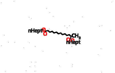 CCCCCCCOC(=O)CCCCCCCCCCCC(C)C(=O)OCCCCCCC